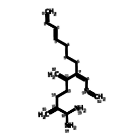 C=C/C=C/CCC/C(=C/N=C)C(=C)CCC(=C)C(N)N